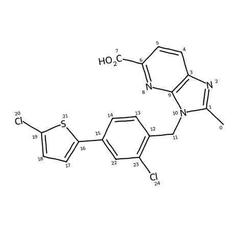 Cc1nc2ccc(C(=O)O)nc2n1Cc1ccc(-c2ccc(Cl)s2)cc1Cl